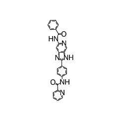 O=C(Nc1cc2nc(-c3ccc(NC(=O)c4ccccn4)cc3)[nH]c2cn1)c1ccccc1